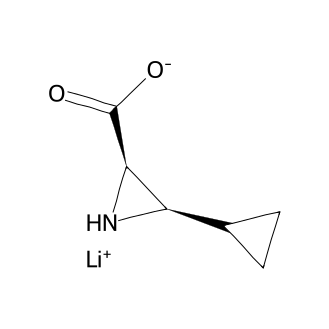 O=C([O-])[C@@H]1N[C@@H]1C1CC1.[Li+]